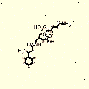 CC(CNC(=O)CC(N)c1ccccc1)CP(=O)(O)O[C@@H](CCCCN)C(=O)O